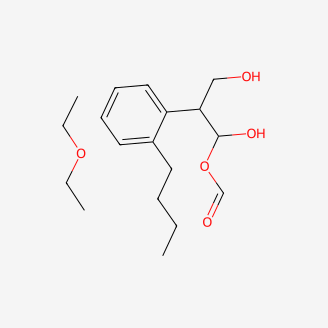 CCCCc1ccccc1C(CO)C(O)OC=O.CCOCC